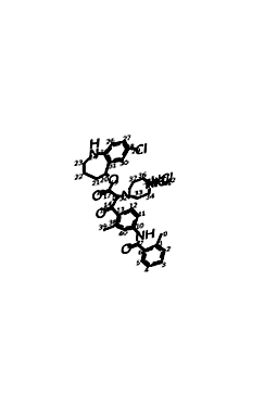 Cc1ccccc1C(=O)Nc1ccc(C(=O)C(C(=O)OC2CCCNc3ccc(Cl)cc32)N2CCNCC2)c(C)c1.Cl.Cl